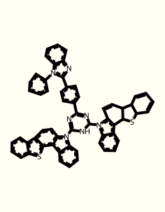 C1=CC2SC3c4c(n(C5N=C(c6ccc(-c7nc8ccccc8n7-c7ccccc7)cc6)N=C(n6c7ccccc7c7c8sc9ccccc9c8ccc76)N5)c5ccccc45)C=CC3C2C=C1